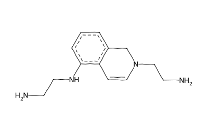 NCCNc1cccc2c1C=CN(CCN)C2